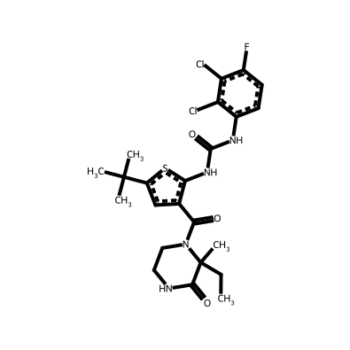 CCC1(C)C(=O)NCCN1C(=O)c1cc(C(C)(C)C)sc1NC(=O)Nc1ccc(F)c(Cl)c1Cl